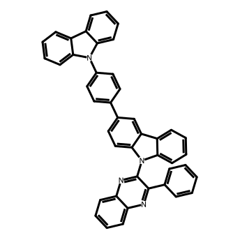 c1ccc(-c2nc3ccccc3nc2-n2c3ccccc3c3cc(-c4ccc(-n5c6ccccc6c6ccccc65)cc4)ccc32)cc1